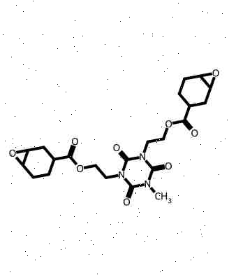 Cn1c(=O)n(CCOC(=O)C2CCC3OC3C2)c(=O)n(CCOC(=O)C2CCC3OC3C2)c1=O